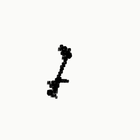 COc1cc(Nc2ncn3cc(N[C@H]4CCCC[C@H]4N)nc3c2C(N)=O)cc(OCCOCCOCCOCCNc2cccc3c2C(=O)N(C2CCC(=O)NC2=O)C3=O)c1